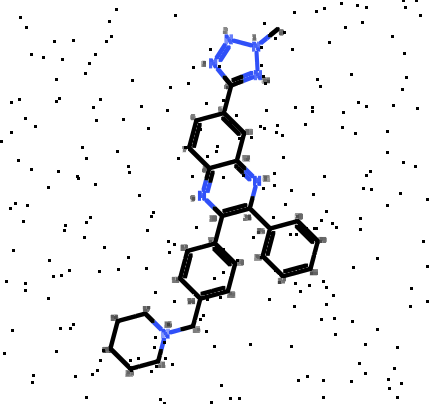 Cn1nnc(-c2ccc3nc(-c4ccc(CN5CC[CH]CC5)cc4)c(-c4ccccc4)nc3c2)n1